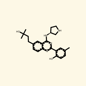 Cc1ccc(O)c(-c2nc(N[C@H]3CCNC3)c3cc(CCC(C)(C)O)ccc3n2)c1